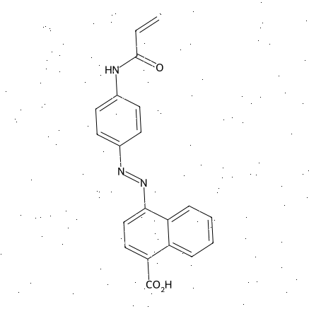 C=CC(=O)Nc1ccc(/N=N/c2ccc(C(=O)O)c3ccccc23)cc1